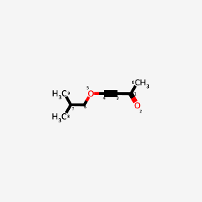 CC(=O)C#COCC(C)C